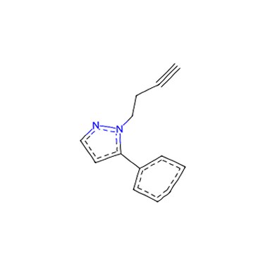 C#CCCn1nccc1-c1ccccc1